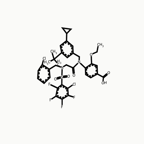 CCOc1cc(C(=O)O)ccc1N(Cc1cc(C2CC2)cc(C(C)(C)C)c1)C(=O)CN(Cc1ccccc1Cl)S(=O)(=O)c1c(F)c(F)c(F)c(F)c1Cl